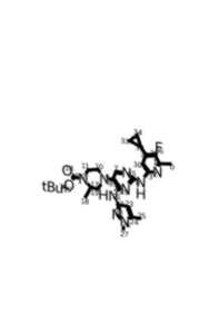 Cc1nc(Nc2ncc(N3CCN(C(=O)OC(C)(C)C)C(C)C3)c(Nc3cc(C)n(C)n3)n2)cc(C2CC2)c1F